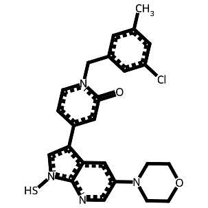 Cc1cc(Cl)cc(Cn2ccc(-c3cn(S)c4ncc(N5CCOCC5)cc34)cc2=O)c1